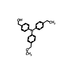 CCc1ccc(N(c2ccc(CO)cc2)c2ccc(COC)cc2)cc1